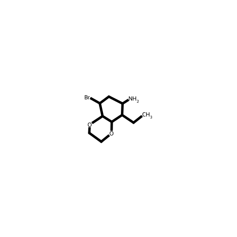 CCC1C(N)CC(Br)C2OCCOC12